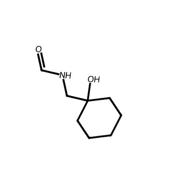 O=CNCC1(O)CCCCC1